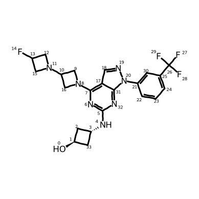 O[C@H]1C[C@H](Nc2nc(N3CC(N4CC(F)C4)C3)c3cnn(-c4cccc(C(F)(F)F)c4)c3n2)C1